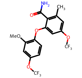 COc1cc(OC(F)(F)F)ccc1Oc1cc(OC(F)(F)F)cc(C)c1C(N)=O